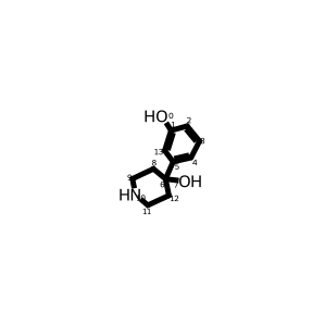 Oc1cccc(C2(O)CCNCC2)c1